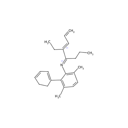 C=C/C=C(CC)/C(CCC)=N/c1c(C)ccc(C)c1C1=CC=CCC1